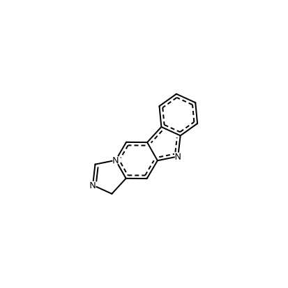 C1=NCc2cc3nc4ccccc4c-3cn21